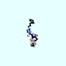 O=C(c1noc2c1CN(S(=O)(=O)c1cccs1)CC2)N1CCN(CC=Cc2ccccc2)CC1